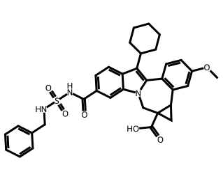 COc1ccc2c(c1)C1CC1(C(=O)O)Cn1c-2c(C2CCCCC2)c2ccc(C(=O)NS(=O)(=O)NCc3ccccc3)cc21